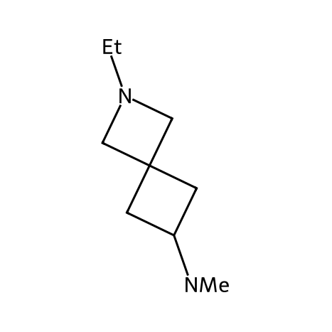 CCN1CC2(CC(NC)C2)C1